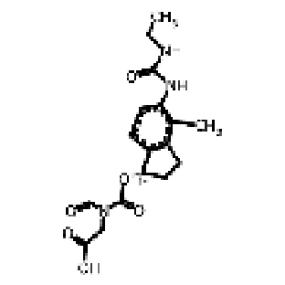 CCNC(=O)Nc1ccc2c(c1C)CC[C@@H]2OC(=O)N(C=O)CC(=O)O